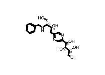 OC[C@@H](O)[C@@H](O)[C@H](O)c1cnc(C[C@@H](O)[C@@H](CO)NCc2ccccc2)cn1